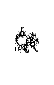 C#Cc1cccc(C2(NCC(O)C3Cc4cc(F)cc(c4)OCCCCC(=O)N(C)C(CC(N)=O)C(=O)N3)CC2)c1